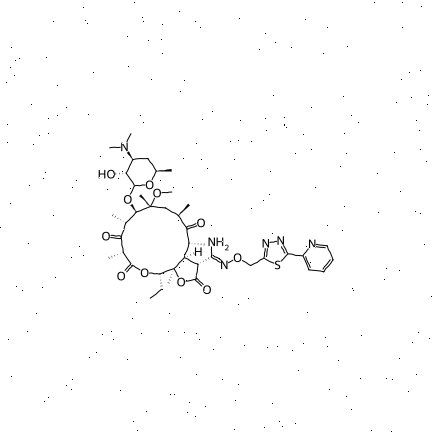 CC[C@@H]1OC(=O)[C@H](C)C(=O)[C@H](C)[C@@H](OC2O[C@H](C)C[C@H](N(C)C)[C@H]2O)[C@](C)(OC)C[C@@H](C)C(=O)[C@H](C)[C@H]2[C@H](/C(N)=N/OCc3nnc(-c4ccccn4)s3)C(=O)O[C@]21C